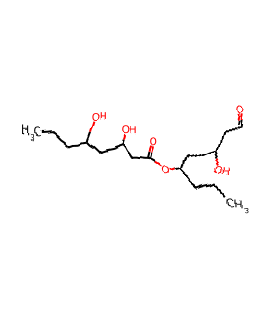 CCCC(O)CC(O)CC(=O)OC(CCC)CC(O)CC=O